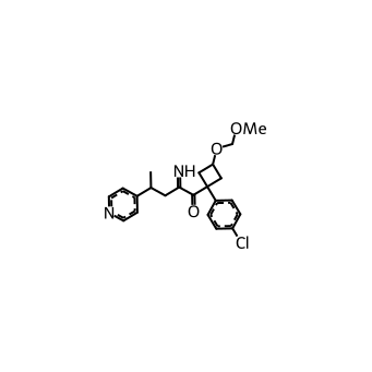 COCOC1CC(C(=O)C(=N)CC(C)c2ccncc2)(c2ccc(Cl)cc2)C1